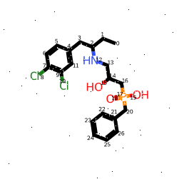 CCC(Cc1ccc(Cl)c(Cl)c1)NCC(O)CP(=O)(O)Cc1ccccc1